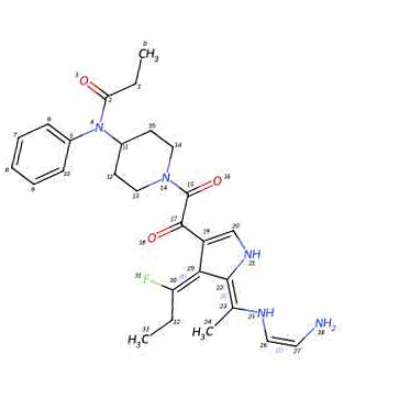 CCC(=O)N(c1ccccc1)C1CCN(C(=O)C(=O)c2c[nH]c(=C(/C)N/C=C\N)/c2=C(/F)CC)CC1